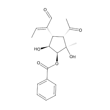 C/C=C(/C=O)[C@H]1[C@H](O)[C@H](OC(=O)c2ccccc2)[C@](C)(O)[C@H]1C(C)=O